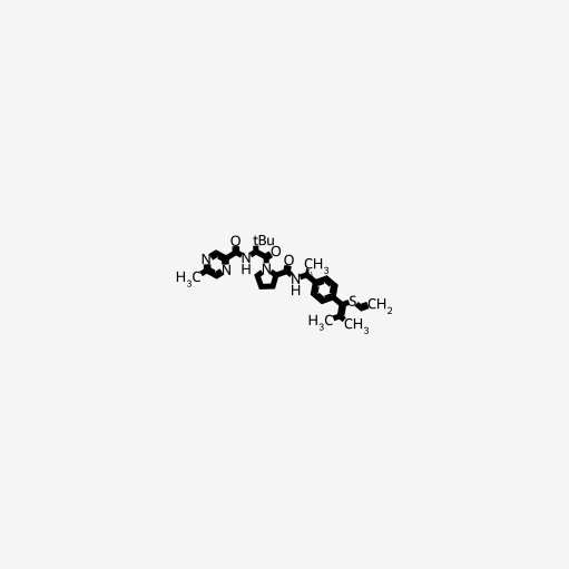 C=CSC(=C(C)C)c1ccc([C@H](C)NC(=O)C2CCCN2C(=O)C(NC(=O)c2cnc(C)cn2)C(C)(C)C)cc1